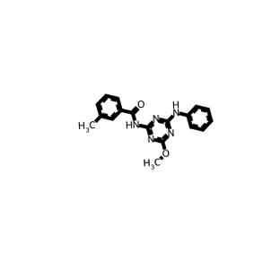 COc1nc(NC(=O)c2cccc(C)c2)nc(Nc2ccccc2)n1